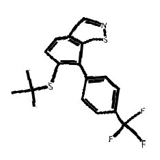 [CH2]C([CH2])(C)Sc1ccc2cnsc2c1-c1ccc(C(F)(F)F)cc1